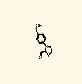 O=CC1OCCN1c1ccc(CO)cc1